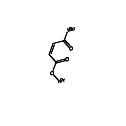 CCCOC(=O)/C=C\C(=O)C(C)(C)C